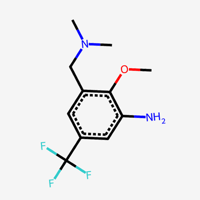 COc1c(N)cc(C(F)(F)F)cc1CN(C)C